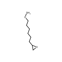 [SiH3]OCCCCCCC1CO1